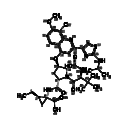 CC[C@@H]1C[C@]1(NC(=O)[C@@H]1C[C@@H](Oc2cc(-c3csc(NC(C)C)n3)nc3c(Cl)c(OC)ccc23)CN1C(=O)[C@@H](NC(=O)O)C(C)(C)C)C(=O)O